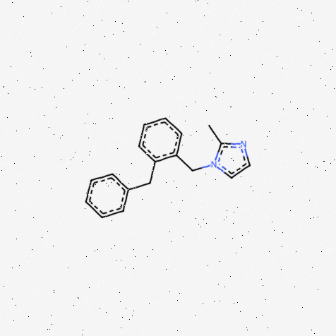 Cc1nccn1Cc1ccccc1Cc1ccccc1